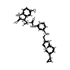 O=C(Nc1cc(NCc2cn3cc(C4CC4)ccc3n2)ccn1)[C@H]1C[C@@]12C(=O)Nc1ccc(Cl)cc12